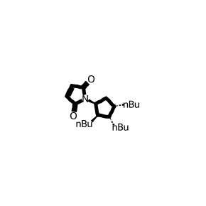 CCCC[C@H]1C[C@H](N2C(=O)C=CC2=O)[C@H](CCCC)[C@H]1CCCC